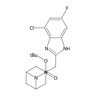 CC(C)(C)OC(=O)N1C2CC1CN(Cc1nc3c(Cl)cc(F)cc3[nH]1)C2